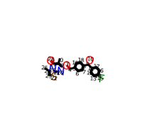 Cc1c(OCc2ccc(C(=O)c3ccc(F)cc3)cc2)nc2scc(C)n2c1=O